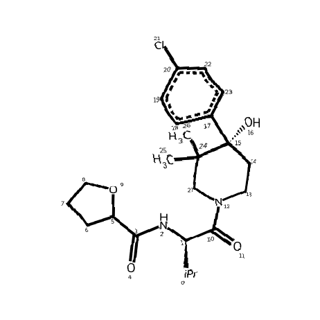 CC(C)[C@@H](NC(=O)C1CCCO1)C(=O)N1CC[C@](O)(c2ccc(Cl)cc2)C(C)(C)C1